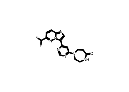 O=C1CCN(c2cc(-c3cnc4ccc(C(F)F)nn34)ncn2)CCN1